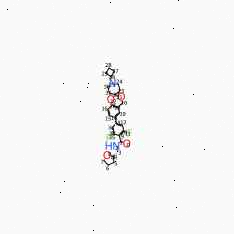 O=C(NC[C@@H]1CCCO1)c1c(F)cc(-c2ccc3c(c2)COC2(CCN(C4CCC4)CC2)O3)cc1F